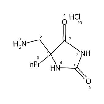 CCCC1(CN)NC(=O)NC1=O.Cl